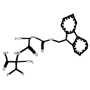 CC(NC(=O)OCC1c2ccccc2-c2ccccc21)C(=O)NC(C)(C(=O)O)C(F)F